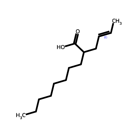 C/C=C/CC(CCCCCCCC)C(=O)O